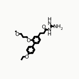 CCOc1ccc(-c2ccc(CCC(=O)NC(=N)N)cc2OCCCOC)cc1